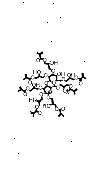 C=C(C)C(=O)OCC(O)COC[C@H]1O[C@@H](O[C@H]2[C@H](OCC(O)COC(=O)C(=C)C)[C@@H](OCC(O)COC(=O)C(=C)C)[C@@H](OCC(O)COC(=O)C(=C)C)O[C@@H]2COCC(O)COC(=O)C(=C)C)[C@H](OCC(O)COC(=O)C(=C)C)[C@@H](OCC(O)COC(=O)C(=C)C)[C@H]1O